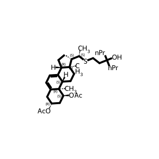 CCCC(O)(CCC)CCS[C@@H](C)[C@H]1CC[C@H]2C3=CC=C4C[C@@H](OC(C)=O)C[C@H](OC(C)=O)[C@]4(C)[C@H]3CC[C@]12C